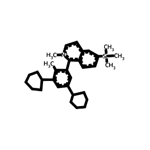 Cc1c(-c2c3ccc([Si](C)(C)C)cc3cc[n+]2C)cc(C2CCCCC2)cc1C1CCCCC1